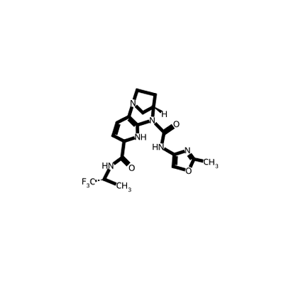 Cc1nc(NC(=O)N2C3=C(C=CC(C(=O)N[C@H](C)C(F)(F)F)N3)N3CC[C@H]2C3)co1